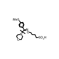 CSc1ccc(C(=NOCCCCS(=O)(=O)O)C(C)(C)N2CCOCC2)cc1